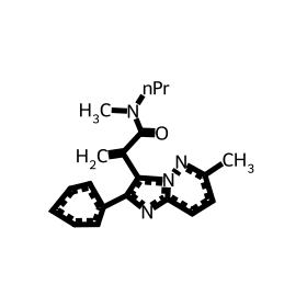 C=C(C(=O)N(C)CCC)c1c(-c2ccccc2)nc2ccc(C)nn12